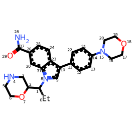 CCC(C1CNCCO1)n1cc(-c2ccc(N3CCOCC3)cc2)c2ccc(C(N)=O)cc21